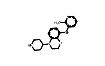 Cc1ncccc1Nc1cccc2c1OCCN2C1CCNCC1